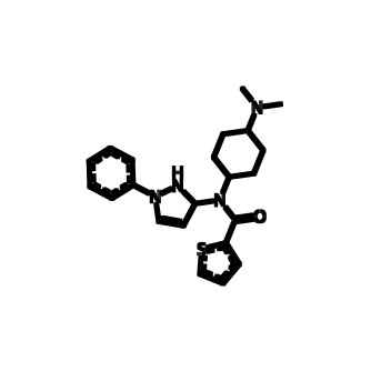 CN(C)C1CCC(N(C(=O)c2cccs2)C2C=CN(c3ccccc3)N2)CC1